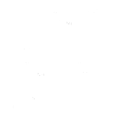 CCCC(c1ccc(C(=O)NCCC(=O)O)cc1)C(C(=O)Nc1ccc(C(F)(F)F)nc1)c1ccc(OC(F)(F)F)cc1